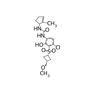 COC[C@H]1C[C@H](S(=O)(=O)c2c(Cl)ccc(NC(=O)NC3CCC=C3C)c2O)C1